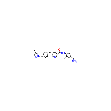 Cc1cnn(Cc2ccc(Cc3cncc(C(=O)NCc4c(C)cc(CN)cc4C)c3)cc2)c1